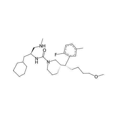 CNC[C@H](CC1CCCCC1)NC(=O)N1CCC[C@@H]([C@@H](CCCCOC)c2cc(C)ccc2F)C1